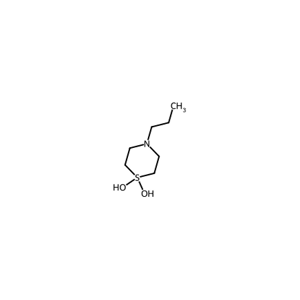 CCCN1CCS(O)(O)CC1